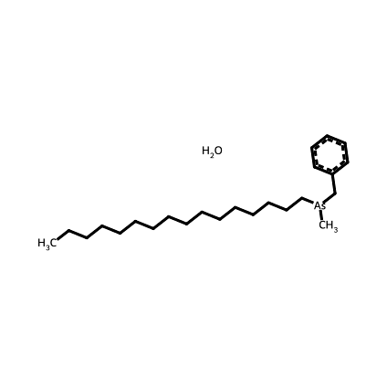 CCCCCCCCCCCCCCCC[As](C)Cc1ccccc1.O